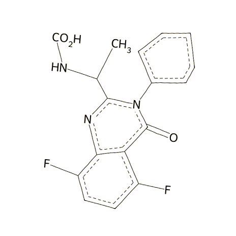 CC(NC(=O)O)c1nc2c(F)ccc(F)c2c(=O)n1-c1ccccc1